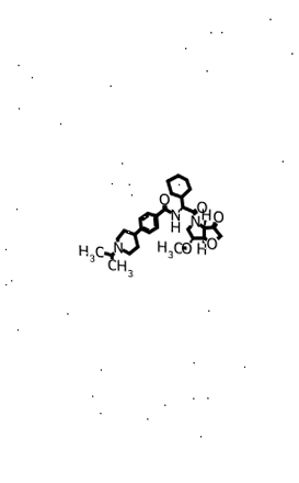 CO[C@H]1CN(C(=O)[C@@H](NC(=O)c2ccc(C3CCN(C(C)C)CC3)cc2)C2CCCCC2)[C@@H]2C(=O)CO[C@H]12